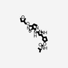 CC(C)NC(=O)OC1CCC(c2cc(Nc3nccc4c(OCC5CCOC5)nn(C)c34)n[nH]2)C1